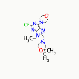 CCn1c(CN2CCOC(C)(C)C2)nc2c(N3CCOCC3)nc(Cl)nc21